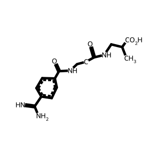 CC(CNC(=O)CCNC(=O)c1ccc(C(=N)N)cc1)C(=O)O